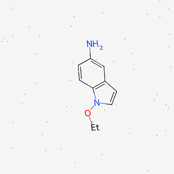 CCOn1ccc2cc(N)ccc21